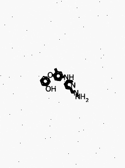 Cc1cc(Nc2ccc(/C=N/N)nc2)ccc1Oc1cccc(O)c1